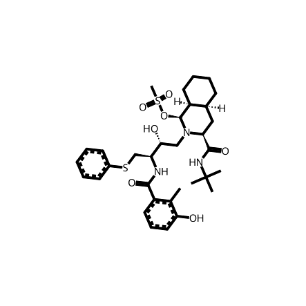 Cc1c(O)cccc1C(=O)N[C@@H](CSc1ccccc1)[C@H](O)CN1[C@H](C(=O)NC(C)(C)C)C[C@@H]2CCCC[C@@H]2[C@@H]1OS(C)(=O)=O